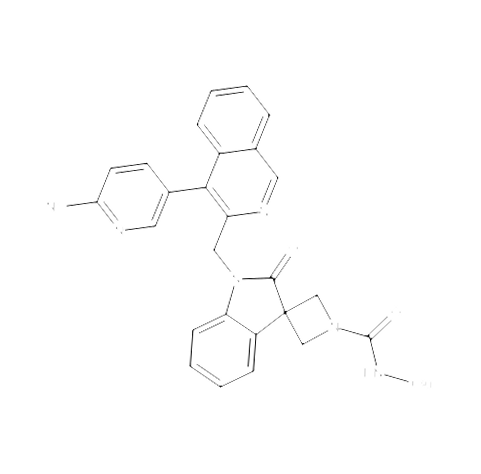 CC(C)(C)NC(=O)N1CC2(C1)C(=O)N(Cc1ncc3ccccc3c1-c1ccc(C#N)nc1)c1ccccc12